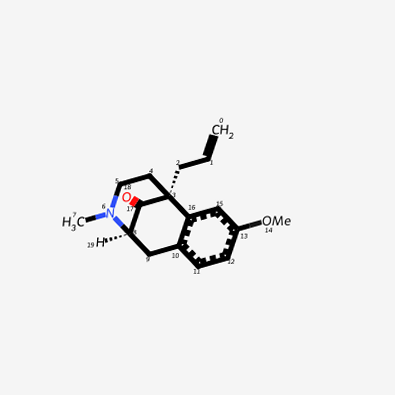 C=CC[C@]12CCN(C)[C@H](Cc3ccc(OC)cc31)C2=O